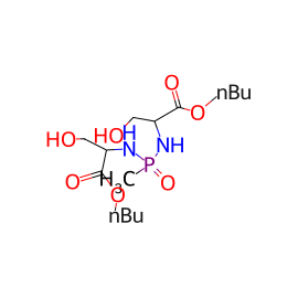 CCCCOC(=O)C(CO)NP(C)(=O)NC(CO)C(=O)OCCCC